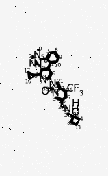 Cn1cnnc1-c1ccccc1-c1cc(C2CC2)nc(-n2cc3c(C(F)(F)F)cc(CNCC4(O)CCC4)cn3c2=O)c1